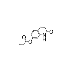 C=CC(=O)Oc1ccc2ccc(=O)[nH]c2c1